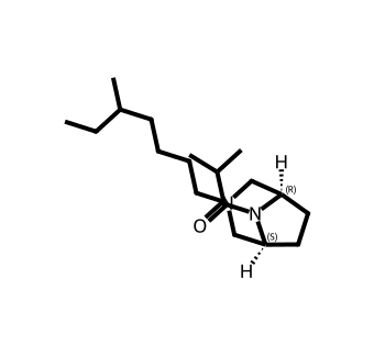 CCC(C)CCCCN1C[C@H]2CC[C@@H](C1)N2C(=O)C(C)C